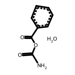 NC(=O)OC(=O)c1ccccc1.O